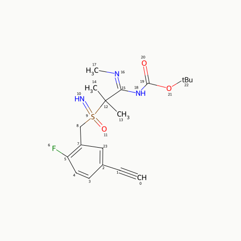 C#Cc1ccc(F)c(CS(=N)(=O)C(C)(C)/C(=N\C)NC(=O)OC(C)(C)C)c1